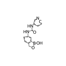 O=C(Nc1cccnc1)Nc1ccc2c(c1)B(O)OC2